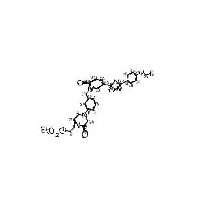 CCOC(=O)CN1CCN(c2cccc(Cn3cc(-c4nc(-c5ccc(OCF)cc5)no4)ccc3=O)c2)CC1=O